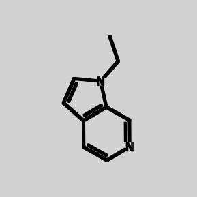 CCn1ccc2ccncc21